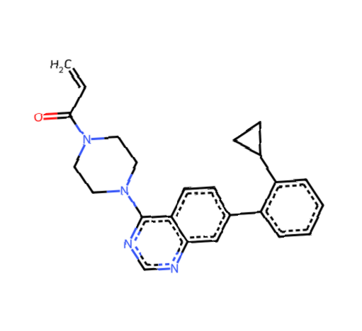 C=CC(=O)N1CCN(c2ncnc3cc(-c4ccccc4C4CC4)ccc23)CC1